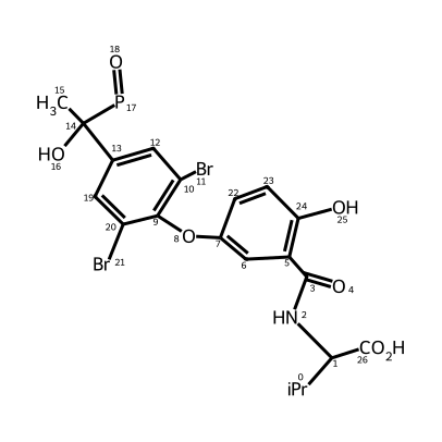 CC(C)C(NC(=O)c1cc(Oc2c(Br)cc(C(C)(O)P=O)cc2Br)ccc1O)C(=O)O